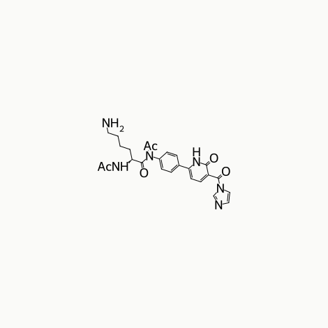 CC(=O)N[C@@H](CCCCN)C(=O)N(C(C)=O)c1ccc(-c2ccc(C(=O)n3ccnc3)c(=O)[nH]2)cc1